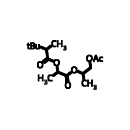 CC(=O)OCC(C)OC(=O)C(C)OC(=O)C(C)C(C)(C)C